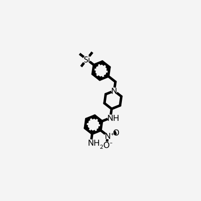 C[Si](C)(C)c1ccc(CN2CCC(Nc3cccc(N)c3[N+](=O)[O-])CC2)cc1